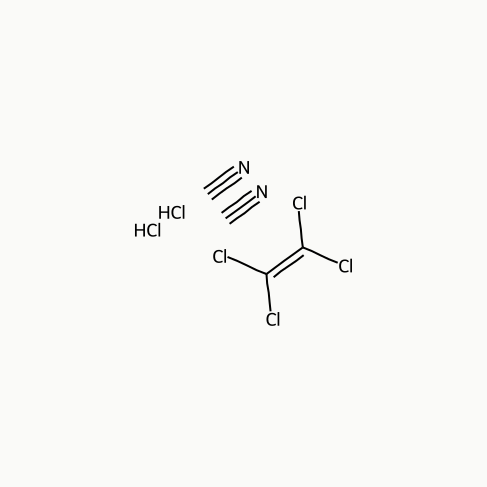 C#N.C#N.Cl.Cl.ClC(Cl)=C(Cl)Cl